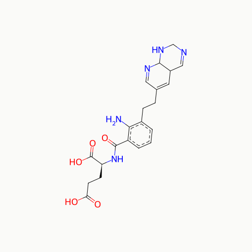 Nc1c(CCC2=CC3C=NCNC3N=C2)cccc1C(=O)N[C@@H](CCC(=O)O)C(=O)O